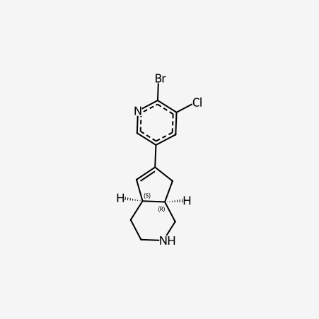 Clc1cc(C2=C[C@@H]3CCNC[C@@H]3C2)cnc1Br